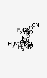 CCn1c(-c2nonc2N)nc2c(-c3cccc(N(OC(=O)C(F)(F)F)C(=O)Nc4ccc(C#N)cc4)c3)ncc(OCCCN)c21